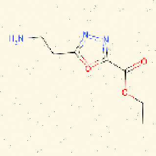 CCOC(=O)c1nnc(CCN)o1